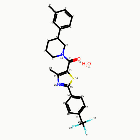 Cc1cccc(C2CCCN(C(=O)c3sc(-c4ccc(C(F)(F)F)cc4)nc3C)C2)c1.O